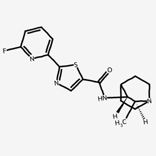 C[C@H]1[C@H](NC(=O)c2cnc(-c3cccc(F)n3)s2)C2CCN1CC2